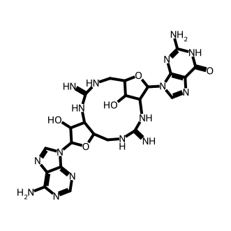 N=C1NCC2OC(n3cnc4c(=O)[nH]c(N)nc43)C(NC(=N)NCC3OC(n4cnc5c(N)ncnc54)C(O)C3N1)C2O